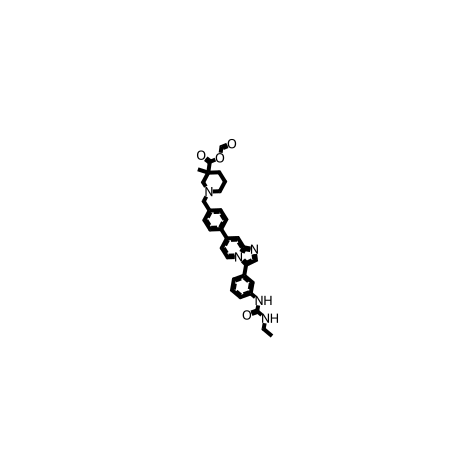 CCNC(=O)Nc1cccc(-c2cnc3cc(-c4ccc(CN5CCCC(C)(C(=O)OC=O)C5)cc4)ccn23)c1